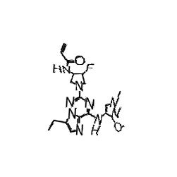 C=CC(=O)NC1CN(c2nc(Nc3cn(C)nc3OC)c3ncc(CC)n3n2)CC1F